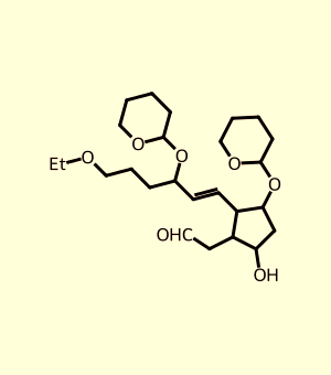 CCOCCCC(C=CC1C(OC2CCCCO2)CC(O)C1CC=O)OC1CCCCO1